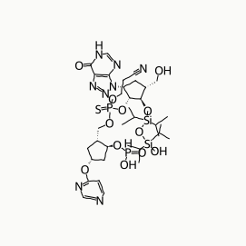 CC(C)[Si](O)(O[Si](O[C@@H]1[C@@H](CO)C[C@@H](n2nnc3c(=O)[nH]cnc32)[C@H]1OP(=S)(OCCC#N)OC[C@H]1C[C@@H](Oc2ccncn2)C[C@@H]1O[PH](=O)O)(C(C)C)C(C)C)C(C)C